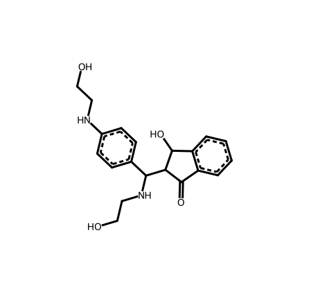 O=C1c2ccccc2C(O)C1C(NCCO)c1ccc(NCCO)cc1